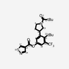 CC(C)(C)C(=O)N1CCC(c2cc(OC(=O)c3cnsc3)cc(C(F)(F)F)c2C(C)(C)C)C1